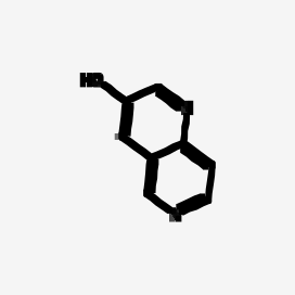 Oc1[c]c2cnccc2nc1